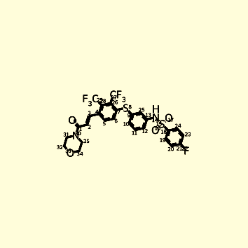 O=C(/C=C/c1ccc(Sc2cccc(NS(=O)(=O)c3ccc(F)cc3)c2)c(C(F)(F)F)c1C(F)(F)F)N1CCOCC1